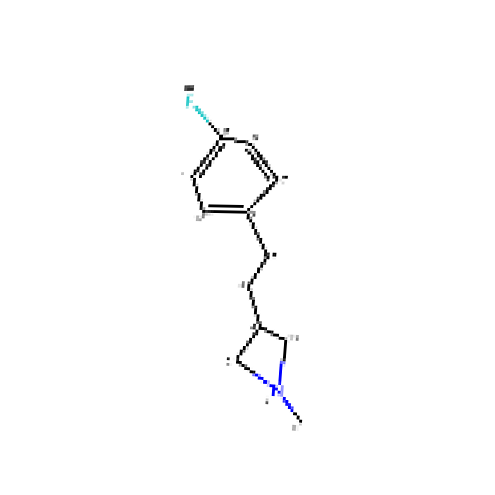 CN1CC(CCc2ccc(F)cc2)C1